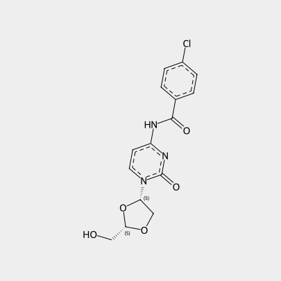 O=C(Nc1ccn([C@@H]2CO[C@H](CO)O2)c(=O)n1)c1ccc(Cl)cc1